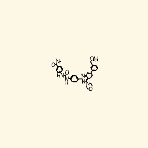 CN(C)C(=O)c1ccc(NC(=O)Nc2ccc(-c3nc(N4CCOCC4)c4ccc(-c5cccc(CO)c5)cc4n3)cc2)cc1